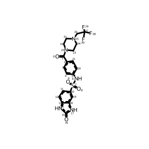 O=C(c1ccc(NS(=O)(=O)c2ccc3[nH]c(=O)[nH]c3c2)cc1)N1CCN(CC(F)(F)F)CC1